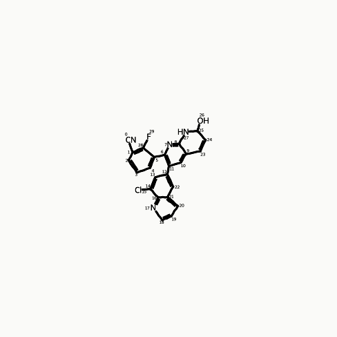 N#Cc1cccc(-c2nc3c(cc2-c2cc(Cl)c4ncccc4c2)C=CC(O)N3)c1F